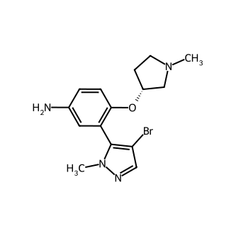 CN1CC[C@@H](Oc2ccc(N)cc2-c2c(Br)cnn2C)C1